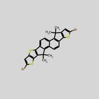 CC1(C)c2cc(Br)sc2-c2ccc3c4c(ccc3c21)-c1sc2cc(Br)sc2c1C4(C)C